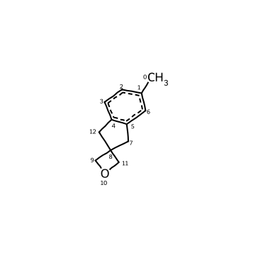 Cc1ccc2c(c1)CC1(COC1)C2